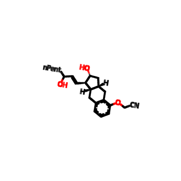 CCCCCC(O)C=C[C@@H]1[C@H]2Cc3cccc(OCC#N)c3C[C@H]2C[C@H]1O